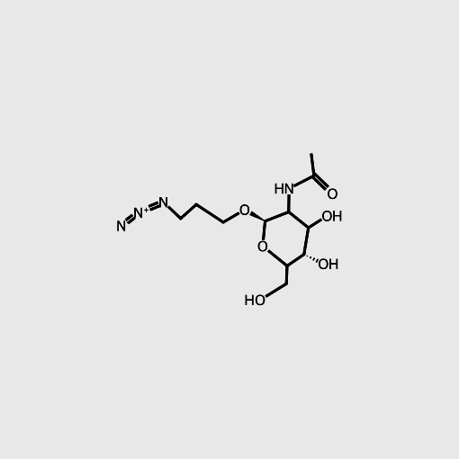 CC(=O)NC1C(O)[C@H](O)C(CO)O[C@H]1OCCCN=[N+]=[N-]